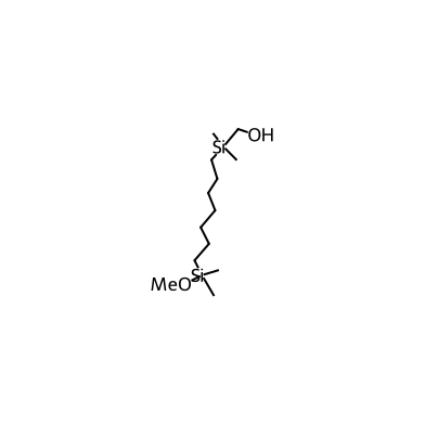 CO[Si](C)(C)CCCCCCC[Si](C)(C)CO